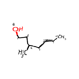 CC=CCC(C)CCO